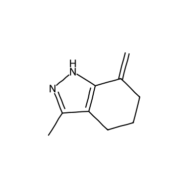 C=C1CCCc2c(C)n[nH]c21